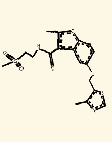 Cc1ncsc1COc1ccc2oc(C)c(C(=O)NCCS(C)(=O)=O)c2c1